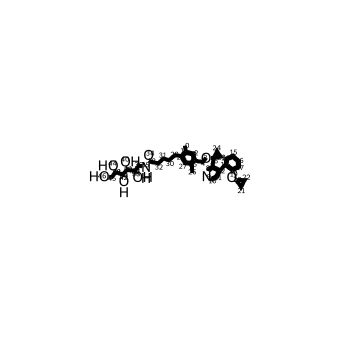 Cc1cc(COC2(c3cnccc3-c3ccccc3OC3CC3)CC2)c(C)cc1CCCCC(=O)NC[C@H](O)[C@@H](O)[C@H](O)[C@H](O)CO